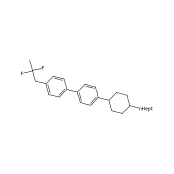 CCCCCCCC1CCC(c2ccc(-c3ccc(CC(C)(F)F)cc3)cc2)CC1